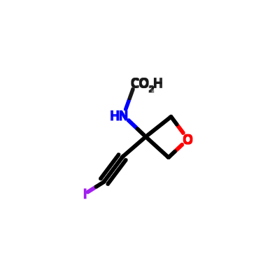 O=C(O)NC1(C#CI)COC1